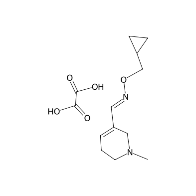 CN1CCC=C(/C=N/OCC2CC2)C1.O=C(O)C(=O)O